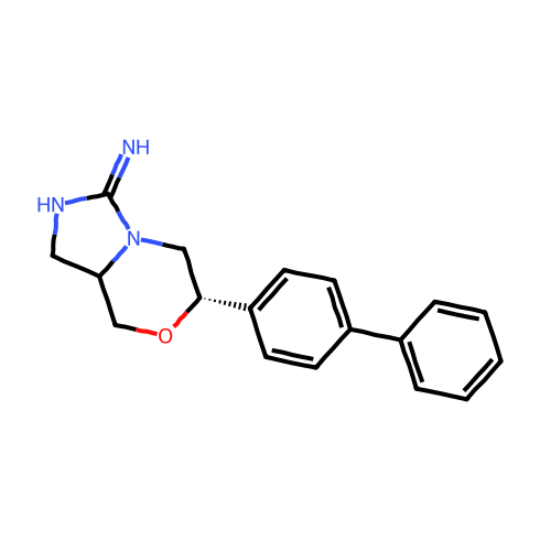 N=C1NCC2CO[C@@H](c3ccc(-c4ccccc4)cc3)CN12